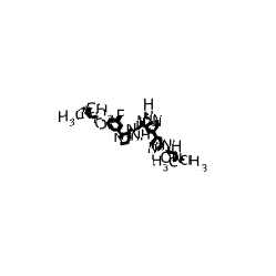 CN(C)CCOc1cc(F)cc(-c2nccc3[nH]c(-c4n[nH]c5ncc(-c6cncc(NC(=O)CN(C)C)c6)cc45)nc23)c1